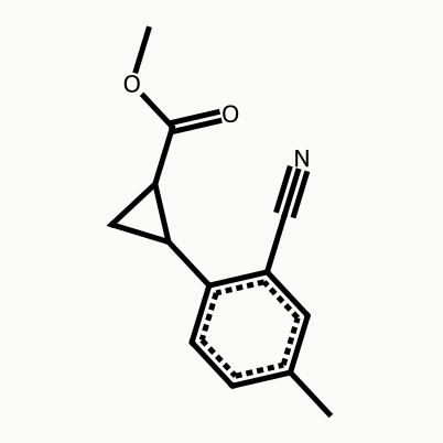 COC(=O)C1CC1c1ccc(C)cc1C#N